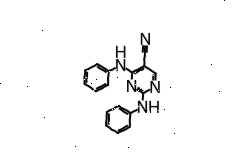 N#Cc1cnc(Nc2ccccc2)nc1Nc1ccccc1